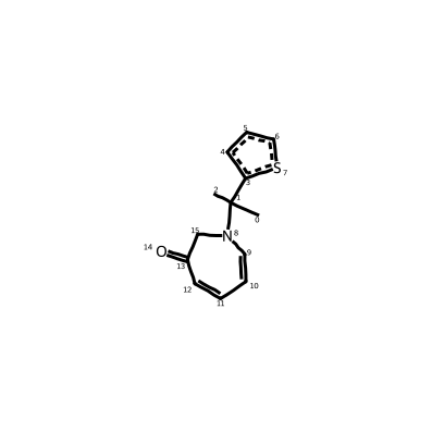 CC(C)(c1cccs1)N1C=CC=CC(=O)C1